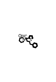 O=CC(CCCc1ccccc1)(c1cccs1)N1CCCCC1